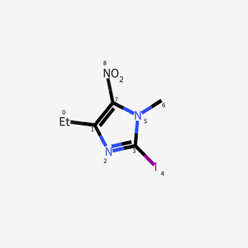 CCc1nc(I)n(C)c1[N+](=O)[O-]